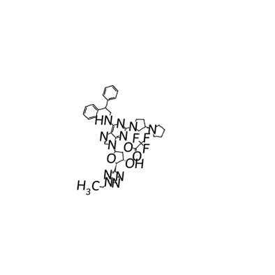 CCn1nnc([C@H]2O[C@@H](n3cnc4c(NCC(c5ccccc5)c5ccccc5)nc(N5CC[C@@H](N6CCCC6)C5)nc43)[C@H](OC(=O)C(F)(F)F)[C@@H]2O)n1